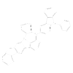 c1ccc(-n2c3ccccc3c3cc(N4c5ccccc5-n5c6cc7oc8ccccc8c7cc6c6cccc4c65)ccc32)cc1